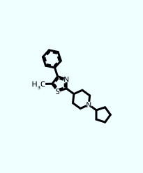 Cc1sc(C2CCN(C3CCCC3)CC2)nc1-c1ccccc1